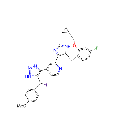 COc1ccc(C(I)c2[nH]nnc2-c2ccnc(-c3nc[nH]c3Cc3ccc(F)cc3OCC3CC3)c2)cc1